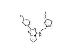 COc1cccc(CCNc2nc(-c3ccc(Cl)cc3)nc3c2CCC3)c1